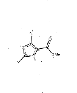 [2H]c1oc(C)nc1C(=O)OC